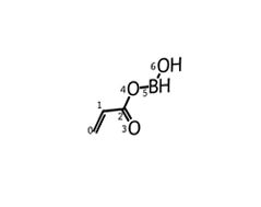 C=CC(=O)OBO